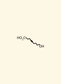 O=C(O)CCCC#CCCCCO